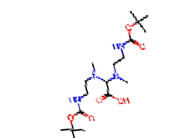 CN(CCNC(=O)OC(C)(C)C)C(C(=O)O)N(C)CCNC(=O)OC(C)(C)C